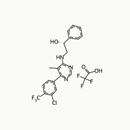 Cc1c(NC[C@H](O)c2ccccc2)ncnc1-c1ccc(C(F)(F)F)c(Cl)c1.O=C(O)C(F)(F)F